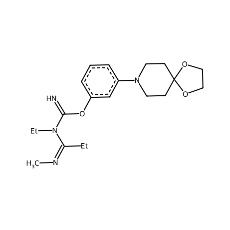 CC/C(=N/C)N(CC)C(=N)Oc1cccc(N2CCC3(CC2)OCCO3)c1